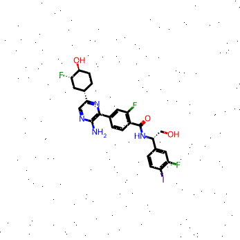 Nc1ncc([C@H]2CC[C@H](O)[C@@H](F)C2)nc1-c1ccc(C(=O)N[C@H](CO)c2ccc(I)c(F)c2)c(F)c1